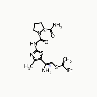 C=C(S/C=C(\N)c1sc(NC(=O)N2CCC[C@H]2C(N)=O)nc1C)C(C)C